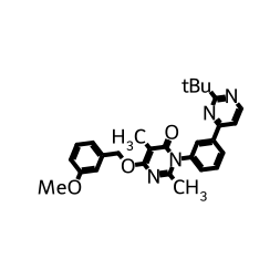 COc1cccc(COc2nc(C)n(-c3cccc(-c4ccnc(C(C)(C)C)n4)c3)c(=O)c2C)c1